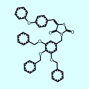 O=C1SC(=Cc2ccc(Oc3ccccc3)cc2)C(=O)N1Cc1cc(OCc2ccccc2)c(OCc2ccccc2)c(OCc2ccccc2)c1